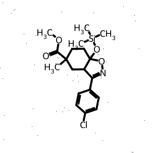 COC(=O)C1(C)CCC2(O[Si](C)(C)C)ON=C(c3ccc(Cl)cc3)C2C1